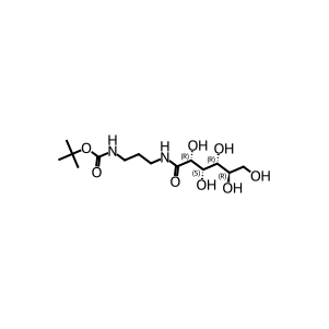 CC(C)(C)OC(=O)NCCCNC(=O)[C@H](O)[C@@H](O)[C@H](O)[C@H](O)CO